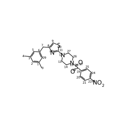 Cc1cc(C)cc(Cc2csc(N3CCN(S(=O)(=O)c4ccc([N+](=O)[O-])cc4)CC3)n2)c1